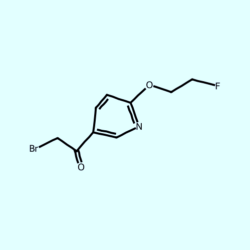 O=C(CBr)c1ccc(OCCF)nc1